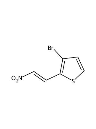 O=[N+]([O-])/C=C/c1sccc1Br